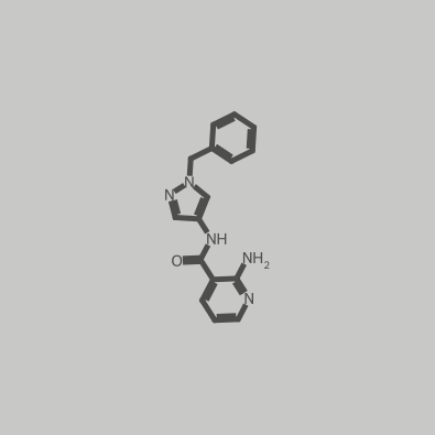 Nc1ncccc1C(=O)Nc1cnn(Cc2ccccc2)c1